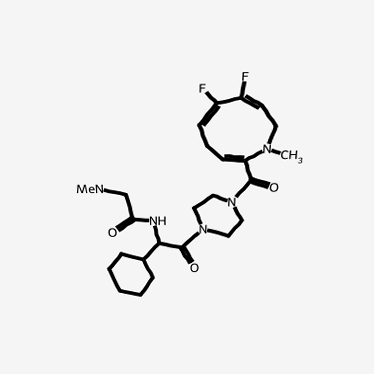 CNCC(=O)NC(C(=O)N1CCN(C(=O)/C2=C/C/C=C(F)\C(F)=C/CN2C)CC1)C1CCCCC1